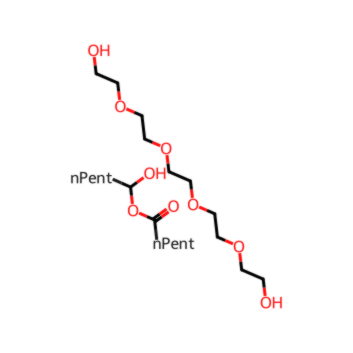 CCCCCC(=O)OC(O)CCCCC.OCCOCCOCCOCCOCCO